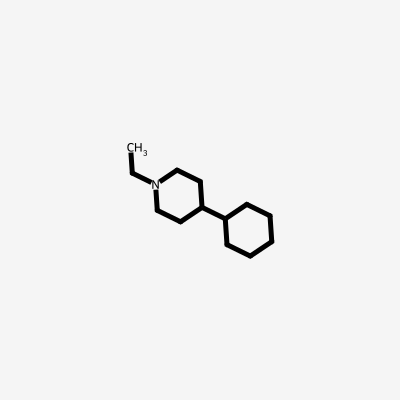 CCN1CCC(C2CCCCC2)CC1